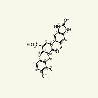 CCOC(=O)c1cn(-c2cc3[nH]c(=O)[nH]c3cc2C)c(=O)n(Cc2cccc(C(F)(F)F)c2Cl)c1=O